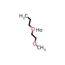 CCCOCCOC.[Ho]